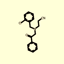 N#CCCN(CC(=O)c1ccccc1)Cc1ccccc1Cl